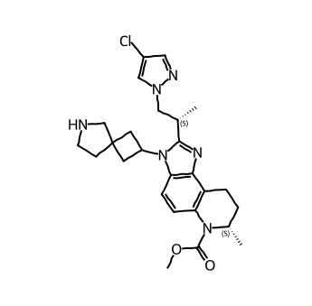 COC(=O)N1c2ccc3c(nc([C@@H](C)Cn4cc(Cl)cn4)n3C3CC4(CCNC4)C3)c2CC[C@@H]1C